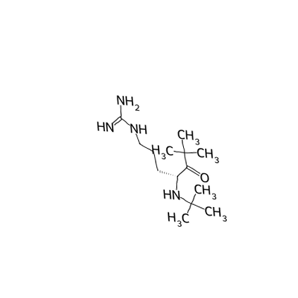 CC(C)(C)N[C@H](CCCNC(=N)N)C(=O)C(C)(C)C